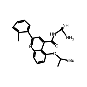 CCCCC(C)Oc1cccc2nc(-c3ccccc3C)cc(C(=O)NC(=N)N)c12